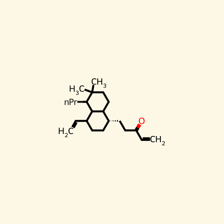 C=CC(=O)CC[C@@H]1CCC(C=C)C2C1CCC(C)(C)C2CCC